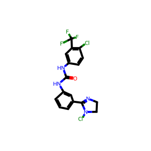 O=C(Nc1cccc(C2=NCCN2Cl)c1)Nc1ccc(Cl)c(C(F)(F)F)c1